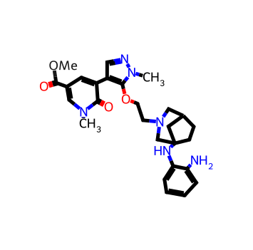 COC(=O)c1cc(-c2cnn(C)c2OCCN2CC3CCC(Nc4ccccc4N)(C3)C2)c(=O)n(C)c1